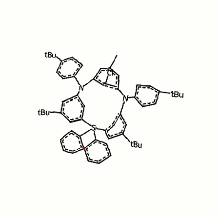 Cc1cc2c(Cl)c(c1)N(c1ccc(C(C)(C)C)cc1)c1cc(C(C)(C)C)cc(c1)[Si](c1ccccc1)(c1ccccc1)c1cc(cc(C(C)(C)C)c1)N2c1ccc(C(C)(C)C)cc1